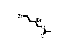 Br.CC(=O)OCCC[CH2][Zn]